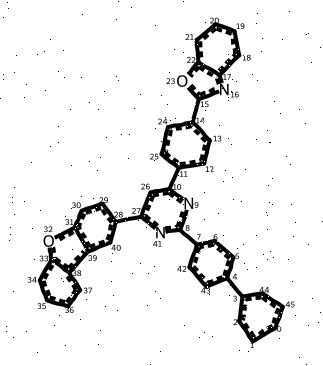 c1ccc(-c2ccc(-c3nc(-c4ccc(-c5nc6ccccc6o5)cc4)cc(-c4ccc5oc6ccccc6c5c4)n3)cc2)cc1